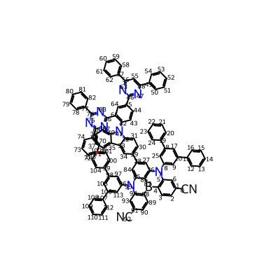 N#Cc1ccc2c(c1)N(c1cc(-c3ccccc3)cc(-c3ccccc3)c1)c1cc(-c3ccc4c(c3)c3ccccc3n4-c3ccc(-c4nc(-c5ccccc5)cc(-c5ccccc5)n4)cc3-c3nc(-c4ccccc4)nc(-c4ccccc4)n3)cc3c1B2c1ccc(C#N)cc1N3c1cc(-c2ccccc2)cc(-c2ccccc2)c1